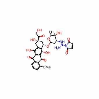 COc1cccc2c1C(=O)c1c(O)c3c(c(O)c1C2=O)C[C@@](O)(C(=O)CO)C[C@@H]3OC1CC(NN(N)N2C(=O)C=CC2=O)C(O)C(C)O1